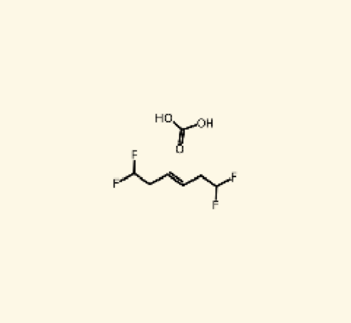 FC(F)CC=CCC(F)F.O=C(O)O